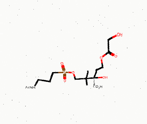 CC(=O)NCCCS(=O)(=O)OCC(C)(C)[C@](O)(CCOC(=O)CO)C(=O)O